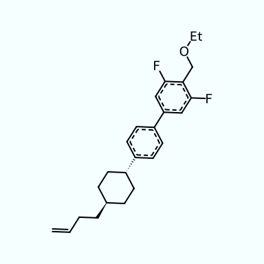 C=CCC[C@H]1CC[C@H](c2ccc(-c3cc(F)c(COCC)c(F)c3)cc2)CC1